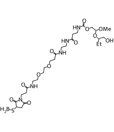 BSC1CC(=O)N(CCC(=O)NCCOCCOCCC(=O)NCCNC(=O)CCNC(=O)OCC(OC)OC(CC)CO)C1=O